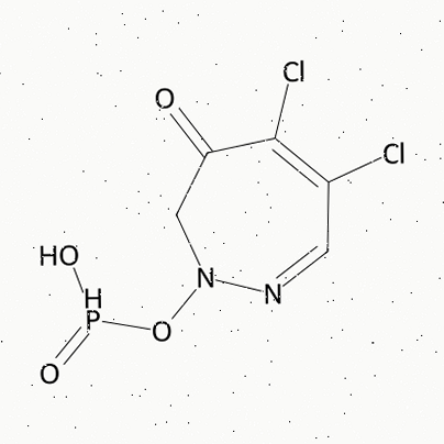 O=C1CN(O[PH](=O)O)N=CC(Cl)=C1Cl